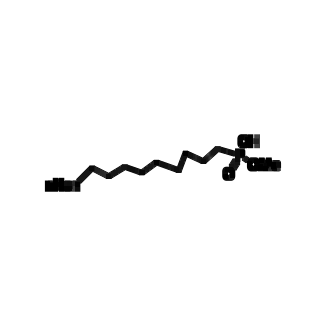 CCCCCCCCCCCCCCCCCCP(=O)(O)OC